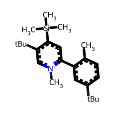 Cc1ccc(C(C)(C)C)cc1-c1cc([Si](C)(C)C)c(C(C)(C)C)c[n+]1C